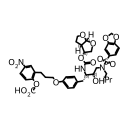 CC(C)CN(C[C@@H](O)[C@H](Cc1ccc(OCCCc2cc([N+](=O)[O-])ccc2OC(=O)O)cc1)NC(=O)O[C@H]1CO[C@H]2OCC[C@H]21)S(=O)(=O)c1ccc2c(c1)OCO2